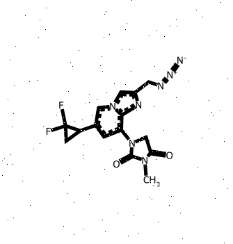 CN1C(=O)CN(c2cc(C3CC3(F)F)cn3cc(CN=[N+]=[N-])nc23)C1=O